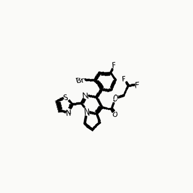 O=C(OCC(F)F)C1=C2CCCN2C(c2nccs2)=NC1c1ccc(F)cc1Br